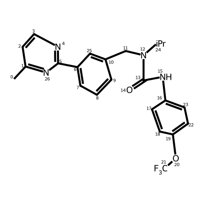 Cc1ccnc(-c2cccc(CN(C(=O)Nc3ccc(OC(F)(F)F)cc3)C(C)C)c2)n1